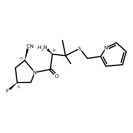 CC(C)(SCc1ccccn1)[C@H](N)C(=O)N1C[C@@H](F)C[C@H]1C#N